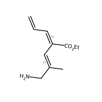 C=C/C=C(\C=C(/C)CN)C(=O)OCC